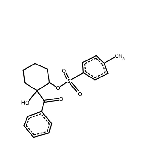 Cc1ccc(S(=O)(=O)OC2CCCCC2(O)C(=O)c2ccccc2)cc1